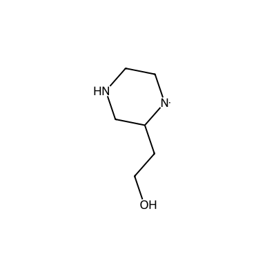 OCCC1CNCC[N]1